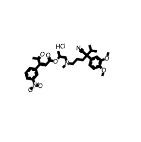 COc1ccc(C(C#N)(CCCN(C)CC(C)OC(=O)C=C(C(C)=O)c2cccc([N+](=O)[O-])c2)C(C)C)cc1OC.Cl